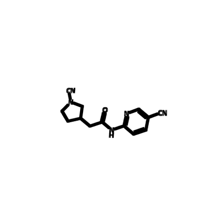 N#Cc1ccc(NC(=O)CC2CCN(C#N)C2)nc1